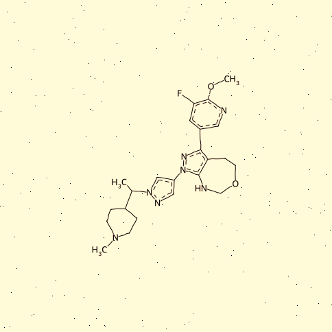 COc1ncc(-c2nn(-c3cnn(C(C)C4CCN(C)CC4)c3)c3c2CCOCN3)cc1F